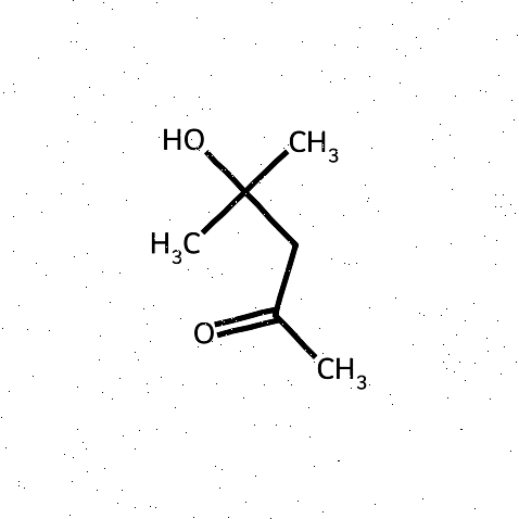 CC(=O)CC(C)(C)O